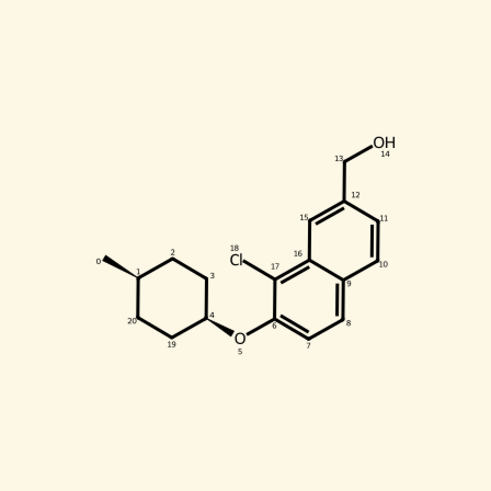 C[C@H]1CC[C@@H](Oc2ccc3ccc(CO)cc3c2Cl)CC1